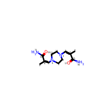 CC(=CN1CCN(C=C(C)C(N)=O)CC1)C(N)=O